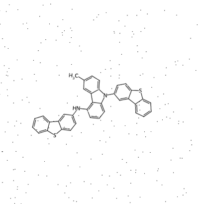 Cc1ccc2c(c1)c1c(Nc3ccc4sc5ccccc5c4c3)cccc1n2-c1ccc2sc3ccccc3c2c1